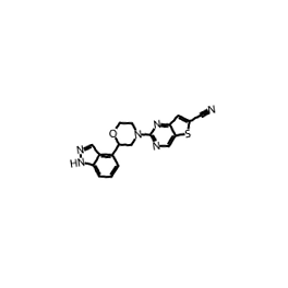 N#Cc1cc2nc(N3CCOC(c4cccc5[nH]ncc45)C3)ncc2s1